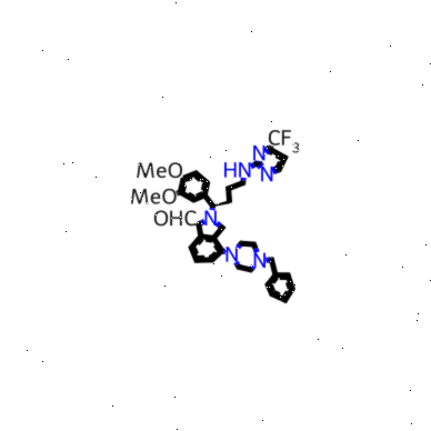 COc1ccc([C@@H](CCCNc2nccc(C(F)(F)F)n2)N2Cc3c(cccc3N3CCN(Cc4ccccc4)CC3)C2C=O)cc1OC